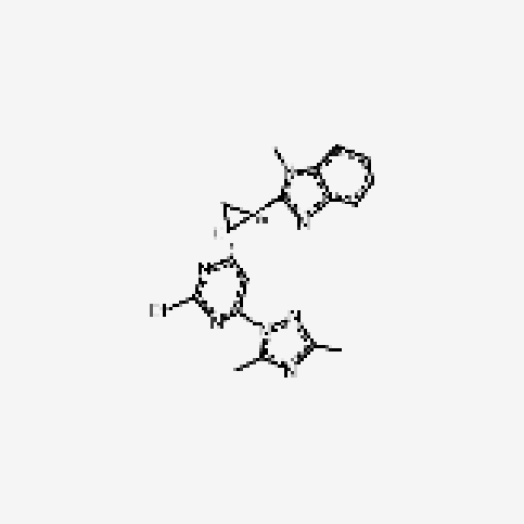 CCc1nc([C@@H]2C[C@H]2c2nc3ccccc3n2C)cc(-n2nc(C)nc2C)n1